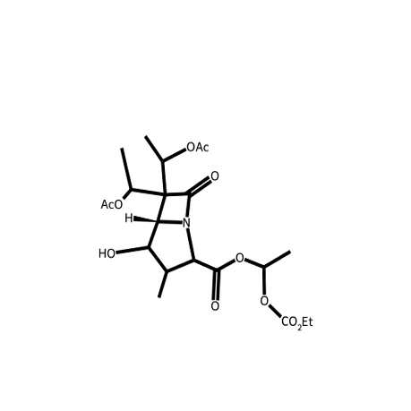 CCOC(=O)OC(C)OC(=O)C1C(C)C(O)[C@H]2N1C(=O)C2(C(C)OC(C)=O)C(C)OC(C)=O